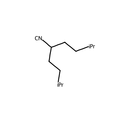 [C-]#[N+]C(CCC(C)C)CCC(C)C